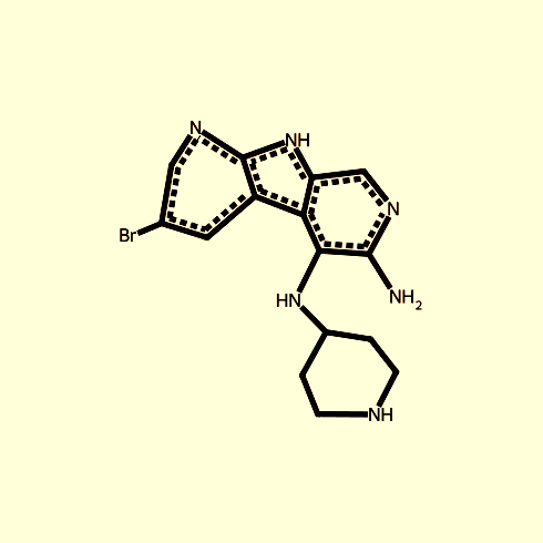 Nc1ncc2[nH]c3ncc(Br)cc3c2c1NC1CCNCC1